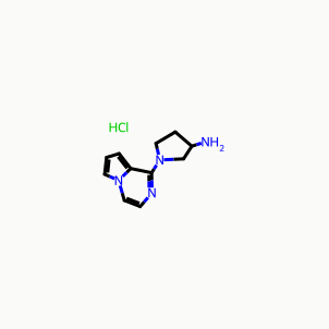 Cl.NC1CCN(c2nccn3cccc23)C1